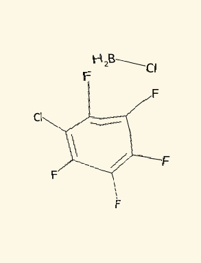 BCl.Fc1c(F)c(F)c(Cl)c(F)c1F